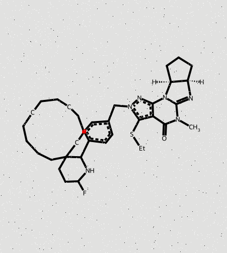 CCSc1c2c(nn1Cc1ccc(C3NC(F)CCC34CCCCCCCCCCC4)cc1)N1C(=N[C@@H]3CCC[C@@H]31)N(C)C2=O